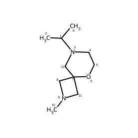 CC(C)N1CCOC2(CN(C)C2)C1